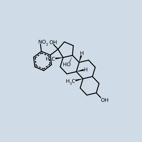 C[C@]12CCC(O)CC1CC[C@@H]1[C@H]2CC[C@]2(C)C(O)(c3ccccc3[N+](=O)[O-])CC[C@@]12O